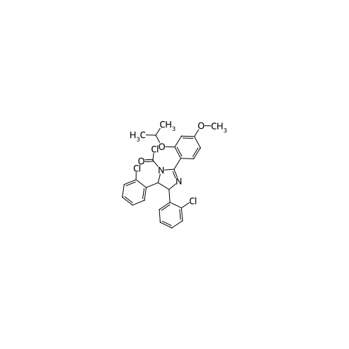 COc1ccc(C2=NC(c3ccccc3Cl)C(c3ccccc3Cl)N2C(=O)Cl)c(OC(C)C)c1